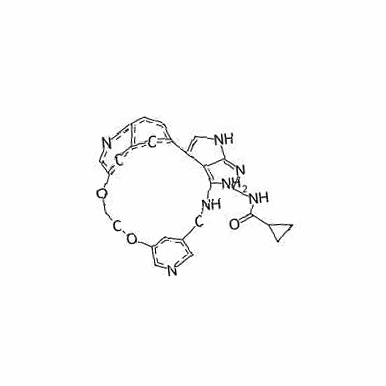 N/C1=C2/C(=CN/C2=N/CNC(=O)C2CC2)c2ccc3ncc(cc3c2)OCCOc2cncc(c2)CN1